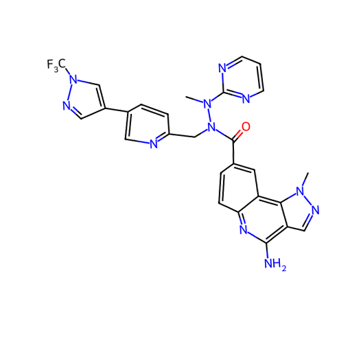 CN(c1ncccn1)N(Cc1ccc(-c2cnn(C(F)(F)F)c2)cn1)C(=O)c1ccc2nc(N)c3cnn(C)c3c2c1